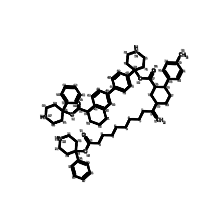 C=C(CCCCCCCCC(=O)OC1(c2ccccc2)CCNCC1)C1CCC(c2ccc(C)cc2)C(C(=O)OC2(c3ccc(-c4ccc5c(c4)CCCC5C(=O)OC4(c5ccccc5)CCNCC4)cc3)CCNCC2)C1